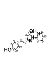 Oc1ccc(/C=C/c2cc(O)n(-c3ccccn3)n2)cc1